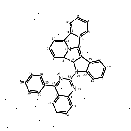 C1=CC2C3C(=c4c5ccccc5c(n42)=C1)c1ccccc1N3c1nc(-c2ccccc2)c2ccccc2n1